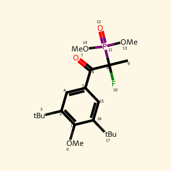 COc1c(C(C)(C)C)cc(C(=O)C(C)(F)P(=O)(OC)OC)cc1C(C)(C)C